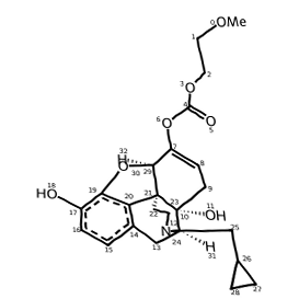 COCCOC(=O)OC1=CC[C@@]2(O)[C@H]3Cc4ccc(O)c5c4[C@@]2(CCN3CC2CC2)[C@H]1O5